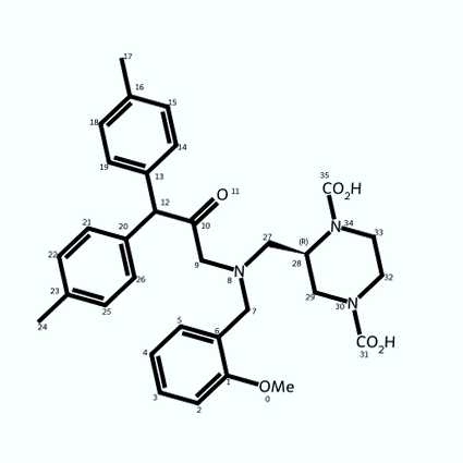 COc1ccccc1CN(CC(=O)C(c1ccc(C)cc1)c1ccc(C)cc1)C[C@@H]1CN(C(=O)O)CCN1C(=O)O